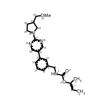 C/C=C(\C)OC(=O)NCc1cccc(-c2cnc(N3CCC(COC)C3)nc2)c1